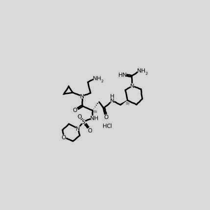 Cl.N=C(N)N1CCC[C@@H](CNC(=O)C[C@H](NS(=O)(=O)N2CCOCC2)C(=O)N(CCN)C2CC2)C1